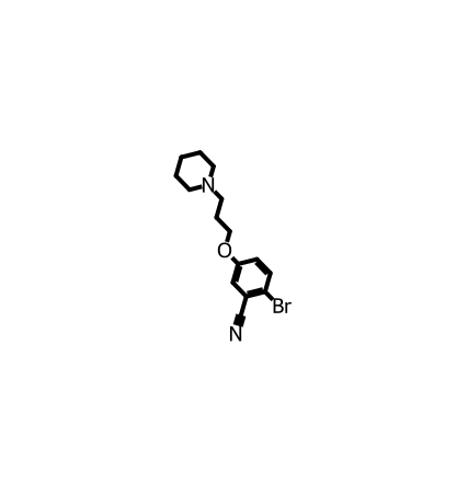 N#Cc1cc(OCCCN2CCCCC2)ccc1Br